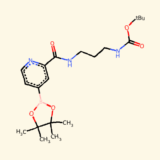 CC(C)(C)OC(=O)NCCCNC(=O)c1cc(B2OC(C)(C)C(C)(C)O2)ccn1